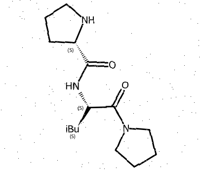 CC[C@H](C)[C@H](NC(=O)[C@@H]1CCCN1)C(=O)N1CCCC1